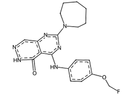 O=c1[nH]ncc2nc(N3CCCCCC3)nc(Nc3ccc(OCF)cc3)c12